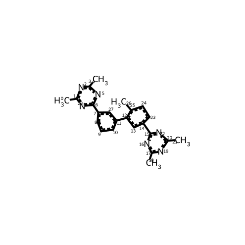 Cc1nc(C)nc(-c2cccc(-c3cc(-c4nc(C)nc(C)n4)ccc3C)c2)n1